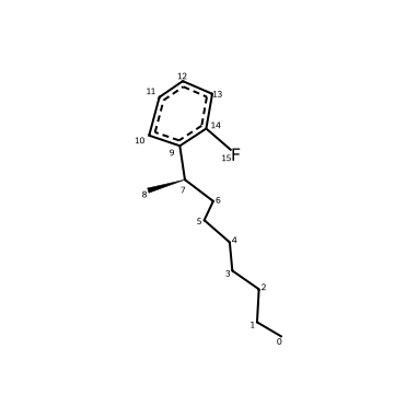 CCCCCCC[C@@H](C)c1ccccc1F